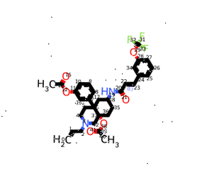 C=CCN1CCC2(c3cccc(OC(C)=O)c3)CC(NC(=O)/C=C/c3cccc(OC(F)(F)F)c3)CCC2(OC(C)=O)C1